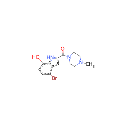 CN1CCN(C(=O)c2cc3c(Br)ccc(O)c3[nH]2)CC1